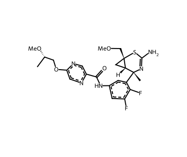 COC[C@]12C[C@H]1[C@@](C)(c1cc(NC(=O)c3cnc(OC[C@H](C)OC)cn3)cc(F)c1F)N=C(N)S2